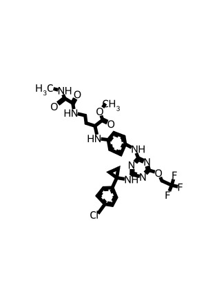 CNC(=O)C(=O)NCCC(Nc1ccc(Nc2nc(NC3(c4ccc(Cl)cc4)CC3)nc(OCC(F)(F)F)n2)cc1)C(=O)OC